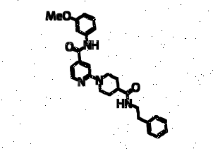 COc1cccc(NC(=O)c2ccnc(N3CCC(C(=O)NCCc4ccccc4)CC3)c2)c1